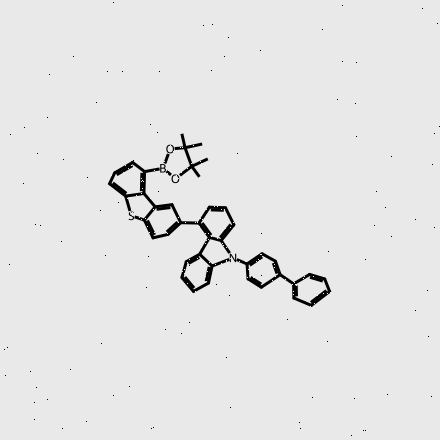 CC1(C)OB(c2cccc3sc4ccc(-c5cccc6c5c5ccccc5n6-c5ccc(-c6ccccc6)cc5)cc4c23)OC1(C)C